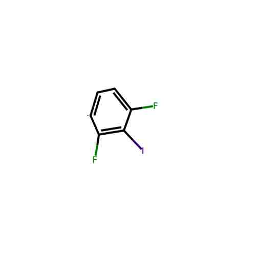 Fc1[c]ccc(F)c1I